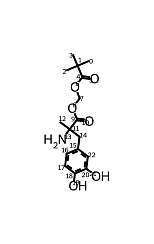 CC(C)(C)C(=O)OCOC(=O)C(C)(N)Cc1ccc(O)c(O)c1